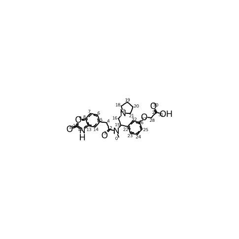 CN(C(=O)Cc1ccc2oc(=O)[nH]c2c1)C(CN1CCCC1)c1cccc(OCC(=O)O)c1